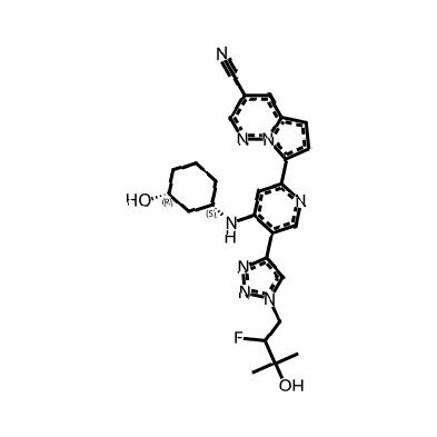 CC(C)(O)C(F)Cn1cc(-c2cnc(-c3ccc4cc(C#N)cnn34)cc2N[C@H]2CCC[C@@H](O)C2)nn1